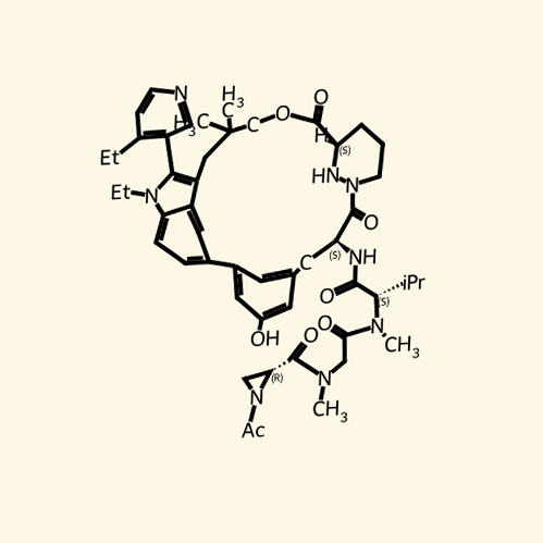 CCc1ccncc1-c1c2c3cc(ccc3n1CC)-c1cc(O)cc(c1)C[C@H](NC(=O)[C@H](C(C)C)N(C)C(=O)CN(C)C(=O)[C@H]1CN1C(C)=O)C(=O)N1CCC[C@H](N1)C(=O)OCC(C)(C)C2